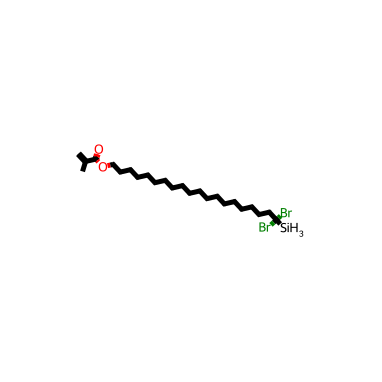 C=C(C)C(=O)OCCCCCCCCCCCCCCCCCCCC([SiH3])(Br)Br